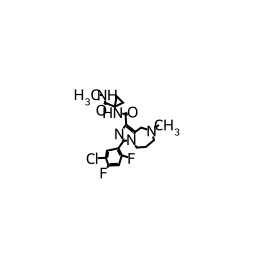 CNC(=O)C1(NC(=O)c2nc(-c3cc(Cl)c(F)cc3F)n3c2CN(C)CCC3)CC1